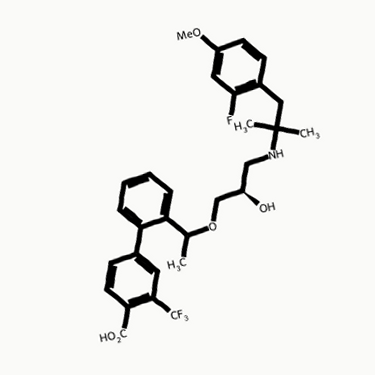 COc1ccc(CC(C)(C)NC[C@@H](O)COC(C)c2ccccc2-c2ccc(C(=O)O)c(C(F)(F)F)c2)c(F)c1